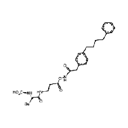 CC[C@H](C)[C@H](NC(=O)O)C(=O)NCCC(=O)ONC(=O)Cc1ccc(CCCCc2ccccc2)cc1